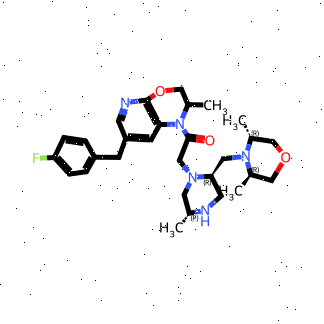 CC1COc2ncc(Cc3ccc(F)cc3)cc2N1C(=O)CN1C[C@@H](C)NC[C@@H]1CN1[C@H](C)COC[C@H]1C